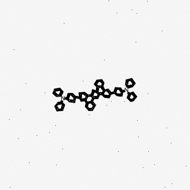 c1ccc(N(c2ccccc2)c2ccc(-c3ccc4c(c3)c3ccccc3c3cc5c6ccc(-c7ccc(N(c8ccccc8)c8ccccc8)cc7)cc6c6ccccc6c5cc43)cc2)cc1